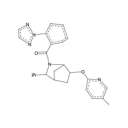 Cc1ccc(OC2CC3CC2N(C(=O)c2ccccc2-n2nccn2)C3C(C)C)nc1